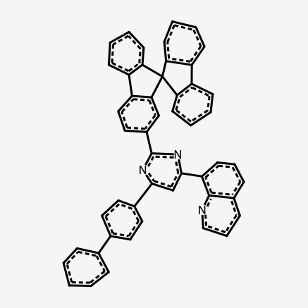 c1ccc(-c2ccc(-c3cc(-c4cccc5cccnc45)nc(-c4ccc5c(c4)C4(c6ccccc6-c6ccccc64)c4ccccc4-5)n3)cc2)cc1